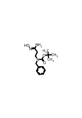 CC(C)(C)OC(=O)N(CCC(N)=NO)Cc1ccccc1